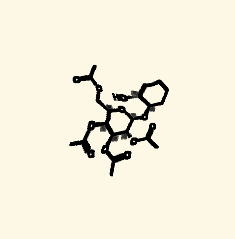 CC(=O)OC[C@H]1O[C@@H](O[C@@H]2CCCC[C@H]2O)[C@H](OC(C)=O)[C@@H](OC(C)=O)[C@H]1OC(C)=O